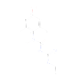 CCNC(=N)NC(=O)N(C)c1c(C)cc(O)cc1C